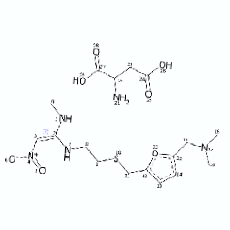 CN/C(=C/[N+](=O)[O-])NCCSCc1ccc(CN(C)C)o1.NC(CC(=O)O)C(=O)O